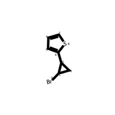 BrC1CC1c1cccs1